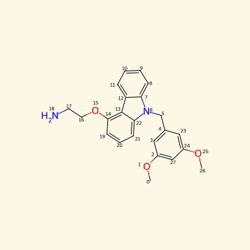 COc1cc(Cn2c3ccccc3c3c(OCCN)cccc32)cc(OC)c1